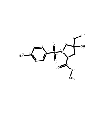 COC(=O)C1CC(O)(CI)CN1S(=O)(=O)c1ccc(C)cc1